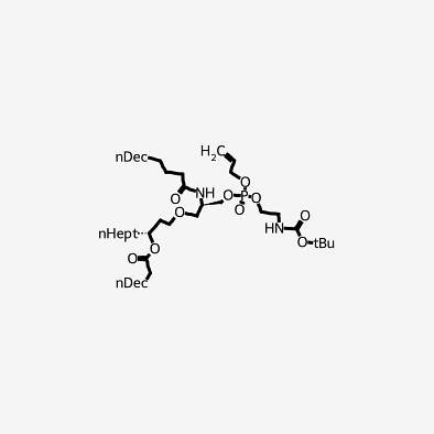 C=CCOP(=O)(OCCNC(=O)OC(C)(C)C)OC[C@@H](COCC[C@@H](CCCCCCC)OC(=O)CCCCCCCCCCC)NC(=O)CCCCCCCCCCCCC